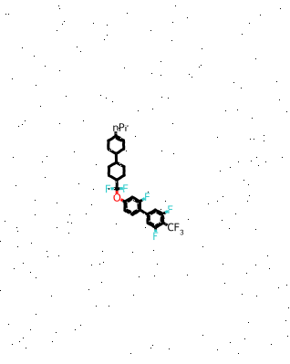 CCCC1=CCC(C2CCC(C(F)(F)Oc3ccc(-c4cc(F)c(C(F)(F)F)c(F)c4)c(F)c3)CC2)CC1